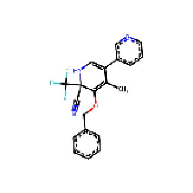 CC1=C(OCc2ccccc2)C(C#N)(C(F)(F)F)NC=C1c1cccnc1